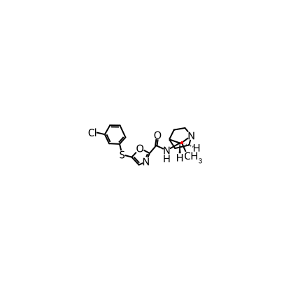 C[C@H]1[C@H](NC(=O)c2ncc(Sc3cccc(Cl)c3)o2)C2CCN1CC2